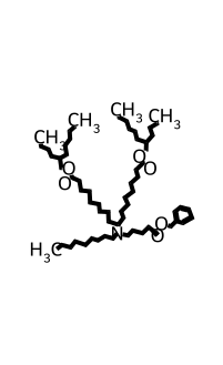 CCCCCCCCCN(CCCCC(=O)OCc1ccccc1)C(CCCCCCCCC(=O)OCC(CCCC)CCCCCC)CCCCCCCCC(=O)OCC(CCCC)CCCCCC